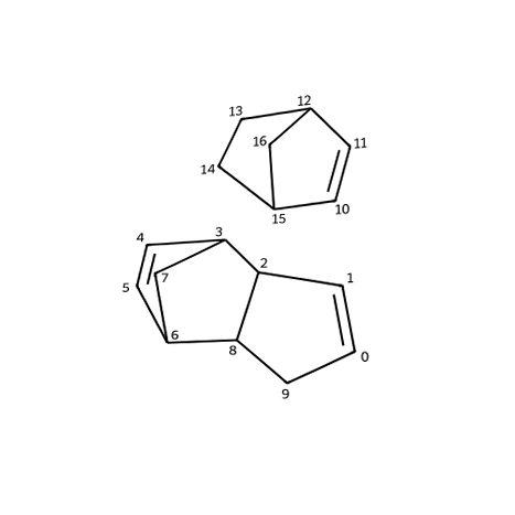 C1=CC2C3C=CC(C3)C2C1.C1=CC2CCC1C2